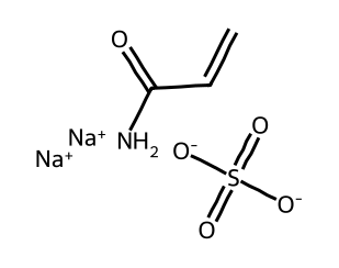 C=CC(N)=O.O=S(=O)([O-])[O-].[Na+].[Na+]